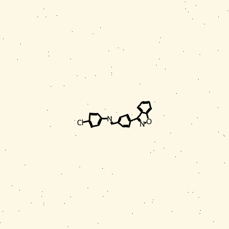 Clc1ccc(N=Cc2ccc(-c3noc4ccccc34)cc2)cc1